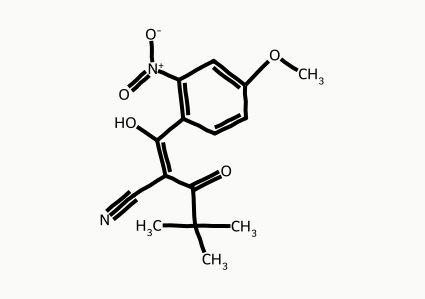 COc1ccc(C(O)=C(C#N)C(=O)C(C)(C)C)c([N+](=O)[O-])c1